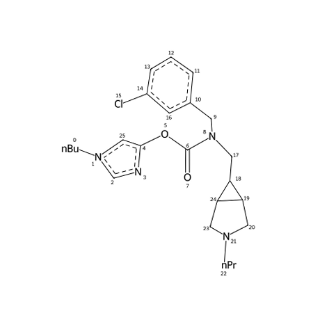 CCCCn1cnc(OC(=O)N(Cc2cccc(Cl)c2)CC2C3CN(CCC)CC32)c1